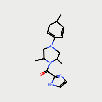 CC1C=CC(N2CC(C)N(C(=O)c3ncc[nH]3)C(C)C2)=CC1